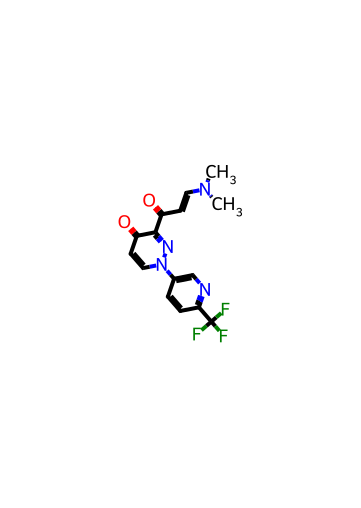 CN(C)/C=C/C(=O)c1nn(-c2ccc(C(F)(F)F)nc2)ccc1=O